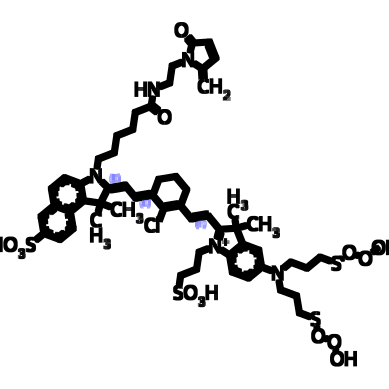 C=C1C=CC(=O)N1CCNC(=O)CCCCCN1/C(=C/C=C2\CCCC(/C=C/C3=[N+](CCCS(=O)(=O)O)c4ccc(N(CCCSOOO)CCCSOOO)cc4C3(C)C)=C2Cl)C(C)(C)c2c1ccc1cc(S(=O)(=O)O)ccc21